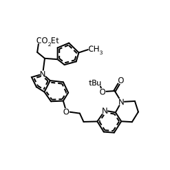 CCOC(=O)CC(c1ccc(C)cc1)n1ccc2cc(OCCc3ccc4c(n3)N(C(=O)OC(C)(C)C)CCC4)ccc21